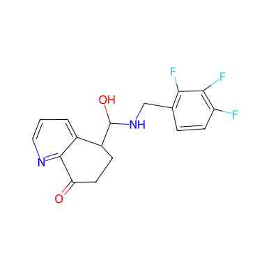 O=C1CCC(C(O)NCc2ccc(F)c(F)c2F)c2cccnc21